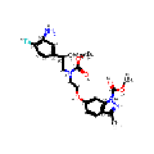 CO[C@@H](CN(CCOc1ccc2c(C(F)(F)F)nn(C(=O)OC(C)(C)C)c2c1)C(=O)OC(C)(C)C)c1ccc(F)c(N)c1